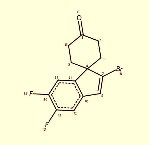 O=C1CCC2(CC1)C(Br)=Cc1cc(F)c(F)cc12